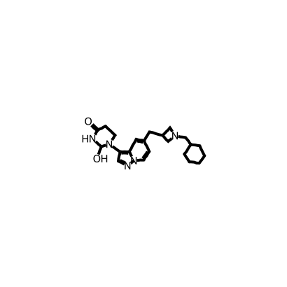 O=C1CCN(c2cnn3ccc(CC4CN(CC5CCCCC5)C4)cc23)C(O)N1